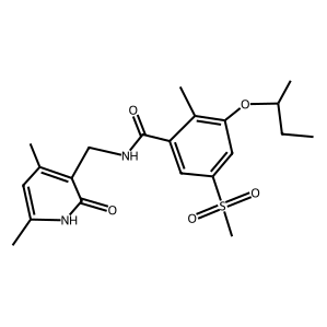 CCC(C)Oc1cc(S(C)(=O)=O)cc(C(=O)NCc2c(C)cc(C)[nH]c2=O)c1C